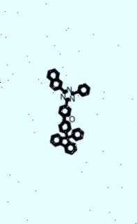 c1ccc(-c2nc(-c3ccc4ccccc4c3)nc(-c3ccc4c(c3)oc3cc(C5(c6ccccc6)c6ccccc6-c6ccccc65)ccc34)n2)cc1